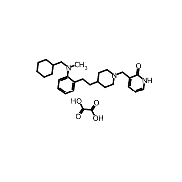 CN(CC1CCCCC1)c1ccccc1CCC1CCN(Cc2ccc[nH]c2=O)CC1.O=C(O)C(=O)O